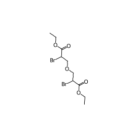 CCOC(=O)C(Br)COCC(Br)C(=O)OCC